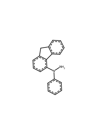 NN(c1ccccc1)c1cccc2c1-c1ccccc1C2